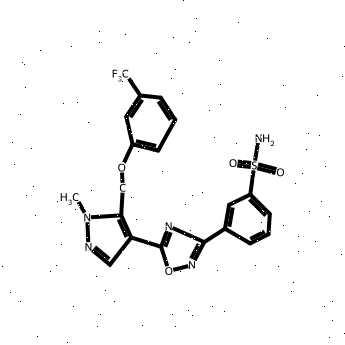 Cn1ncc(-c2nc(-c3cccc(S(N)(=O)=O)c3)no2)c1COc1cccc(C(F)(F)F)c1